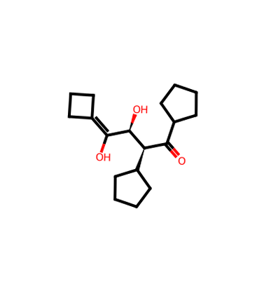 O=C(C1CCCC1)[C@@H](C1CCCC1)[C@H](O)C(O)=C1CCC1